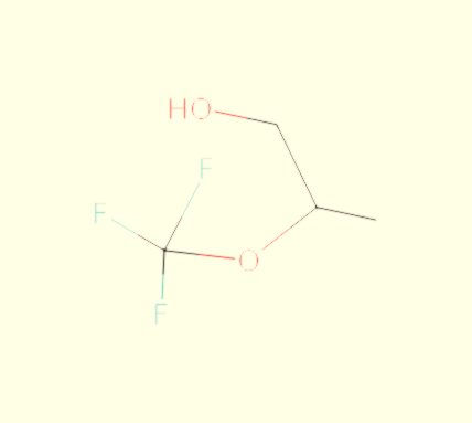 CC(CO)OC(F)(F)F